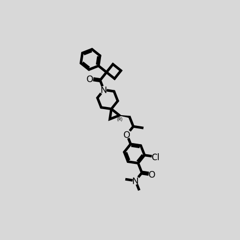 CC(C[C@H]1CC12CCN(C(=O)C1(c3ccccc3)CCC1)CC2)Oc1ccc(C(=O)N(C)C)c(Cl)c1